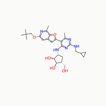 Cc1nc(NCC2CC2)nc(N[C@@H]2C[C@H](CO)[C@@H](O)[C@H]2O)c1-c1cc2cc(OCC(C)(C)C)nc(C)c2o1